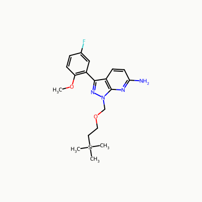 COc1ccc(F)cc1-c1nn(COCC[Si](C)(C)C)c2nc(N)ccc12